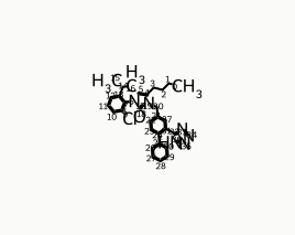 CCCCc1cn(-c2c(Cl)cccc2C(C)C)c(=O)n1Cc1ccc(-c2ccccc2)c(-c2nnn[nH]2)c1